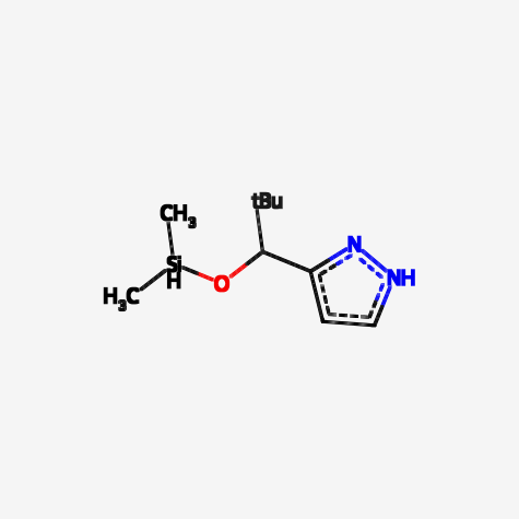 C[SiH](C)OC(c1cc[nH]n1)C(C)(C)C